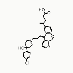 C=C(CCC(=O)O)c1ccc2c(c1)/C(=C/CCN1CCC(O)(c3ccc(Cl)cc3)CC1)c1cccnc1CO2